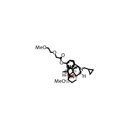 COCCOCC(=O)Oc1ccc2c3c1O[C@H]1[C@]4(OC)CC[C@@]5(C[C@@H]4[C@](C)(O)C(C)(C)C)[C@@H](C2)N(CC2CC2)CC[C@]315